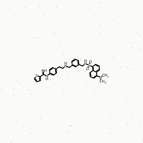 CN(C)c1cccc2c(S(=O)(=O)NCc3cccc(CNCCc4ccc(NC(=N)c5cccs5)cc4)c3)cccc12